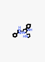 c1ccc(-c2c[nH]c([C@H]3Cc4c([nH]c5ccccc45)C([C@@H]4CCCN4)N3)n2)cc1